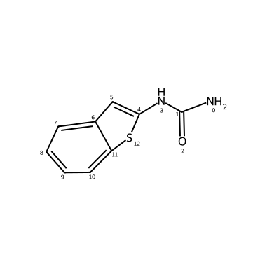 NC(=O)Nc1cc2ccccc2s1